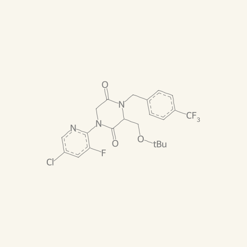 CC(C)(C)OCC1C(=O)N(c2ncc(Cl)cc2F)CC(=O)N1Cc1ccc(C(F)(F)F)cc1